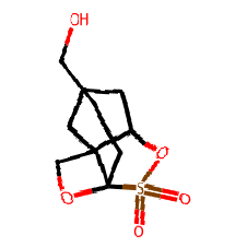 O=S1(=O)OC2CC3(CO)CC24COC41C3